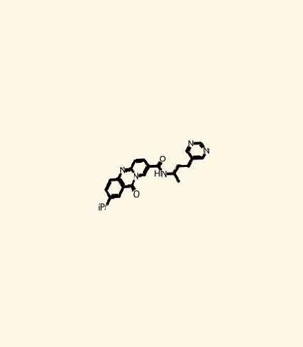 CC(CCc1cncnc1)NC(=O)c1ccc2nc3ccc(C(C)C)cc3c(=O)n2c1